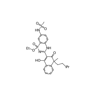 CCOP1(=O)N=C(C2=C(O)c3ccccc3C(C)(CCC(C)C)C2=O)Nc2ccc(NS(C)(=O)=O)cc21